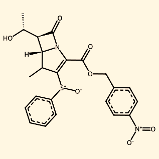 CC1C([S+]([O-])c2ccccc2)=C(C(=O)OCc2ccc([N+](=O)[O-])cc2)N2C(=O)[C@H]([C@@H](C)O)[C@@H]12